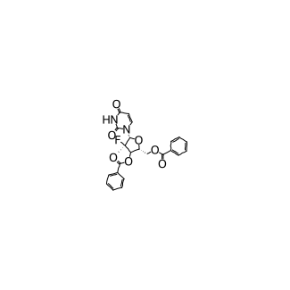 C[C@@]1(F)C(OC(=O)c2ccccc2)[C@@H](COC(=O)c2ccccc2)O[C@H]1n1ccc(=O)[nH]c1=O